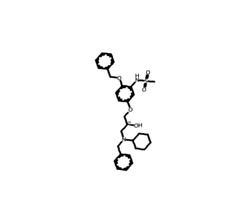 CS(=O)(=O)Nc1cc(OC[C@@H](O)CN(Cc2ccccc2)[C]2CCCCC2)ccc1OCc1ccccc1